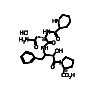 Cl.NC(=O)C[C@H](NC(=O)C1CCCCN1)C(=O)NC(Cc1ccccc1)C(O)C(=O)N1CCC[C@H]1C(=O)O